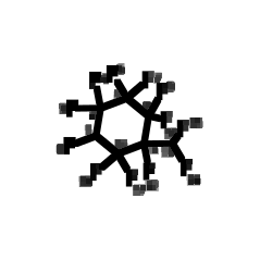 FC1C(F)(F)C(F)(F)C(F)(F)C(F)(C(F)F)C1(F)F